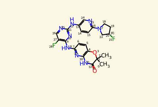 CC1(C)Oc2ccc(Nc3nc(Nc4ccc(N5CC[C@@H](F)C5)nc4)ncc3F)nc2NC1=O